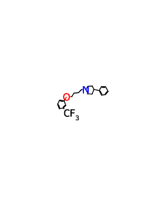 FC(F)(F)c1cccc(OCCCCN2CCC(c3ccccc3)CC2)c1